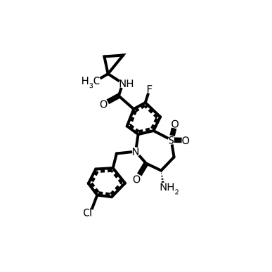 CC1(NC(=O)c2cc3c(cc2F)S(=O)(=O)C[C@H](N)C(=O)N3Cc2ccc(Cl)cc2)CC1